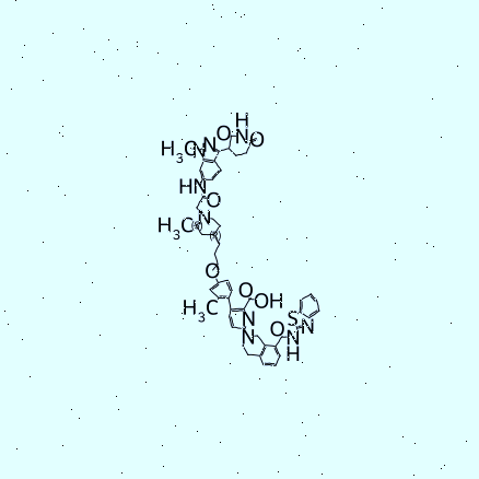 Cc1cc(OCCC[C@@H]2CCN(CC(=O)Nc3ccc4c(C5CCC(=O)NC5=O)nn(C)c4c3)[C@@H](C)C2)ccc1-c1ccc(N2CCc3cccc(C(=O)Nc4nc5ccccc5s4)c3C2)nc1C(=O)O